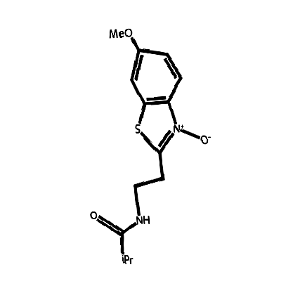 COc1ccc2c(c1)sc(CCNC(=O)C(C)C)[n+]2[O-]